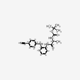 C[C@H](NC(=O)OC(C)(C)C)C(=O)Nc1cccnc1Nc1ccc(C#N)cn1